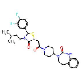 CC(C)CCN1C(=O)C(CC(=O)N2CCC(N3CCc4ccccc4NC3=O)CC2)SC1c1ccc(F)c(F)c1